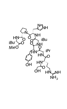 CCC(C)[C@H](NC(=O)[C@H](Cc1ccc(O)cc1)NC(=O)[C@@H](NC(=O)[C@H](CCCNC(=N)N)NC(=O)CO)C(C)C)C(=O)N[C@@H](Cc1c[nH]cn1)C(=O)N1CCC[C@H]1C(=O)N[C@H](C(=O)OC)C(C)CC